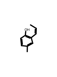 C/C=C\c1cc(C)ccc1O